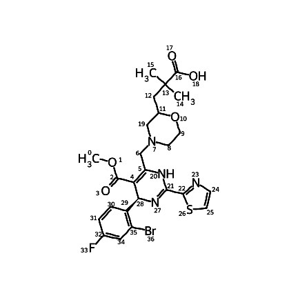 COC(=O)C1=C(CN2CCOC(CC(C)(C)C(=O)O)C2)NC(c2nccs2)=N[C@H]1c1ccc(F)cc1Br